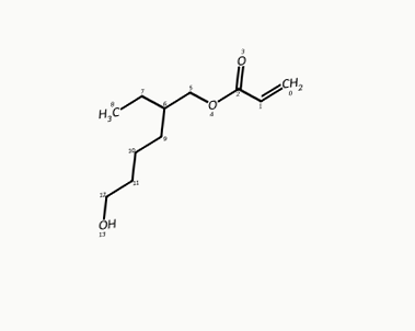 C=CC(=O)OCC(CC)CCCCO